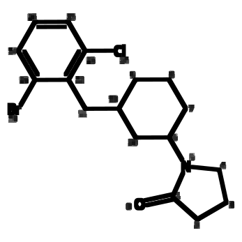 O=C1CCCN1C1CCCC(Cc2c(Cl)cccc2Br)C1